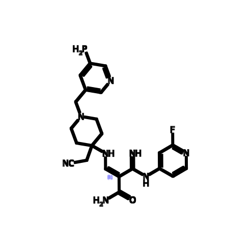 N#CCC1(N/C=C(\C(=N)Nc2ccnc(F)c2)C(N)=O)CCN(Cc2cncc(P)c2)CC1